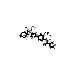 CC(C)N(C(=O)C1(C)CCCCC1)c1cc(-c2ccc(NC(=O)c3cscn3)c(C(F)(F)F)c2)sc1C(=O)O